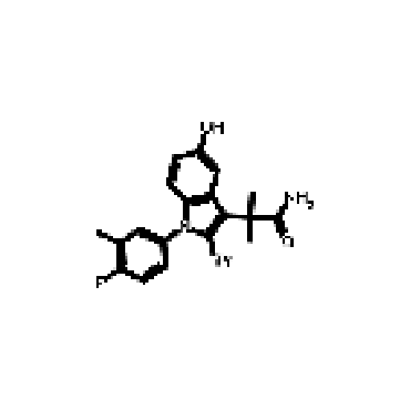 Cc1cc(-n2c(C(C)C)c(C(C)(C)C(N)=O)c3cc(O)ccc32)ccc1F